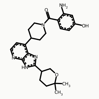 CC1(C)CCC(c2nc3c(C4CCN(C(=O)c5ccc(O)cc5N)CC4)ccnc3[nH]2)CO1